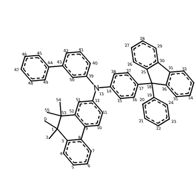 CC1(C)c2ccccc2-c2ccc(N(c3ccc(C4(c5ccccc5)c5ccccc5-c5ccccc54)cc3)c3cccc(-c4ccccc4)c3)cc2C1(C)C